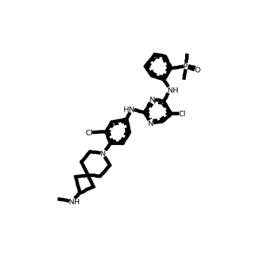 CNC1CC2(CCN(c3ccc(Nc4ncc(Cl)c(Nc5ccccc5P(C)(C)=O)n4)cc3Cl)CC2)C1